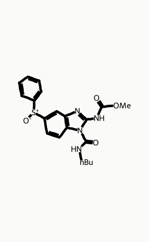 CCCCNC(=O)n1c(NC(=O)OC)nc2cc([S+]([O-])c3ccccc3)ccc21